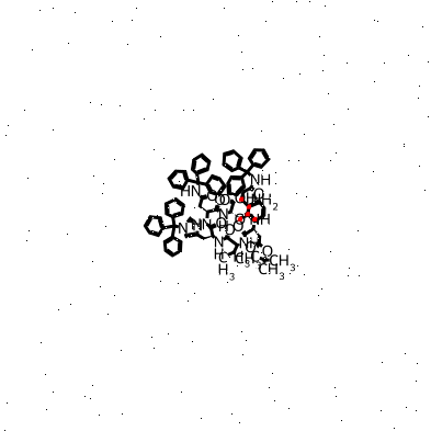 CC(C)[C@H](NC(=O)[C@H](CC(=O)OC(C)(C)C)NC(=O)[C@@H](N)CCC(=O)NC(c1ccccc1)(c1ccccc1)c1ccccc1)C(=O)N[C@@H](Cc1cn(C(c2ccccc2)(c2ccccc2)c2ccccc2)cn1)C(=O)N[C@@H](CC(=O)NC(c1ccccc1)(c1ccccc1)c1ccccc1)C(=O)N[C@@H](Cc1ccccc1)C(=O)O